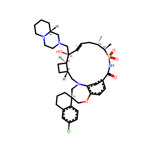 C[C@@H]1[C@@H](C)C/C=C/[C@@](O)(CN2CCN3CCCC[C@@H]3C2)[C@@H]2CC[C@H]2CN2C[C@@]3(CCCc4cc(Cl)ccc43)COc3ccc(cc32)C(=O)NS1(=O)=O